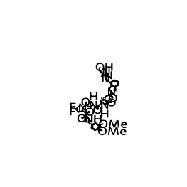 COc1ccc(CNC(=O)C(=O)C2CC(F)(F)CN2C(=O)CNC(=O)C2C[C@@H](CC(=O)N3Cc4cccc(Cn5cc(CO)nn5)c4C3)C(=O)N2)cc1OC